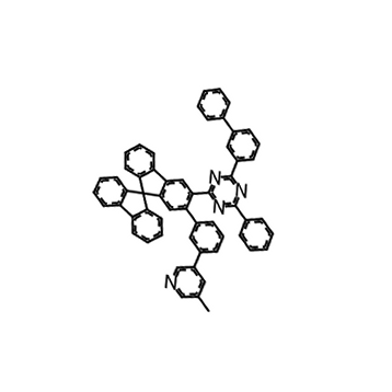 Cc1cncc(-c2cccc(-c3cc4c(cc3-c3nc(-c5ccccc5)nc(-c5cccc(-c6ccccc6)c5)n3)-c3ccccc3C43c4ccccc4-c4ccccc43)c2)c1